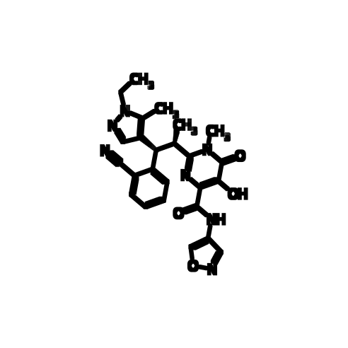 CCn1ncc([C@H](c2ccccc2C#N)[C@@H](C)c2nc(C(=O)Nc3cnoc3)c(O)c(=O)n2C)c1C